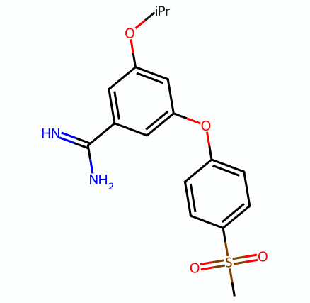 CC(C)Oc1cc(Oc2ccc(S(C)(=O)=O)cc2)cc(C(=N)N)c1